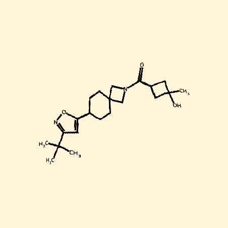 CC1(O)CC(C(=O)N2CC3(CCC(c4cc(C(C)(C)C)no4)CC3)C2)C1